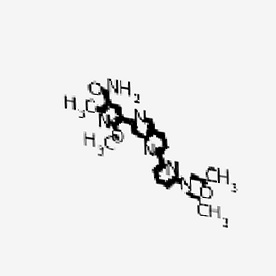 COc1nc(C)c(C(N)=O)cc1-c1cc2nc(-c3cccc(N4C[C@@H](C)O[C@@H](C)C4)n3)ccc2cn1